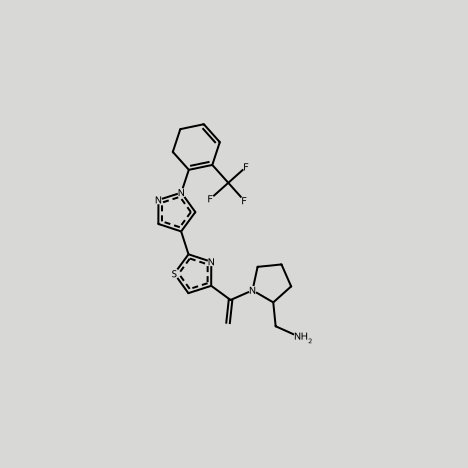 C=C(c1csc(-c2cnn(C3=C(C(F)(F)F)C=CCC3)c2)n1)N1CCCC1CN